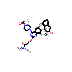 CC(=O)N1CCN(c2nc(OCCC(=O)N(C)C)nc3c(F)c([C@@H]4c5ccccc5C[C@H](O)[C@@H]4C)c(Cl)cc23)CC1